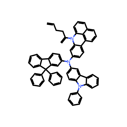 C=CCCC(=C)N1c2cc(N(c3ccc4c(c3)C(c3ccccc3)(c3ccccc3)c3ccccc3-4)c3ccc4c(c3)c3ccccc3n4-c3ccccc3)ccc2-c2cccc3cccc1c23